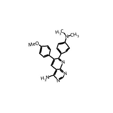 COc1ccc(-c2cc3c(N)ncnc3nc2-c2ccc(N(C)C)cc2)cc1